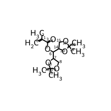 C=C(C)C(=O)OC(C1COC(C)(C)O1)C1COC(C)(C)O1